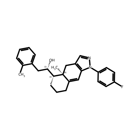 Cc1ccccc1C[C@H](O)[C@H]1CCCC2=Cc3c(cnn3-c3ccc(F)cc3)C[C@@]21C